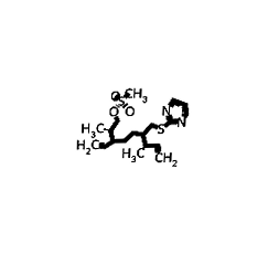 C=CC(CCC(CSc1ncccn1)[C@@H](C)C=C)[C@H](C)COS(C)(=O)=O